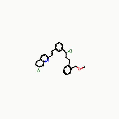 COCc1ccccc1CC[C@H](Cl)c1cccc(/C=C/c2ccc3ccc(Cl)cc3n2)c1